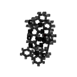 c1ccc2c(c1)-c1ccccc1[Si]21c2cccc3c2B2c4c1cnc1c4[N+]4(c5c(ncc6c5B5c7c(cccc7[Si]67c6ccccc6-c6ccccc67)-c6ccc[n+]4c65)O1)[n+]1cccc-3c12